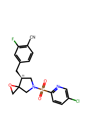 N#Cc1ccc(C[C@H]2CN(S(=O)(=O)c3ccc(Cl)cn3)CC23CO3)cc1F